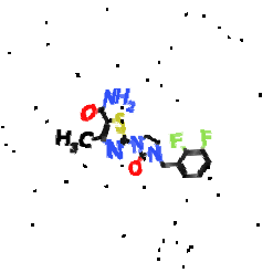 Cc1nc(N2CCN(Cc3cccc(F)c3F)C2=O)sc1C(N)=O